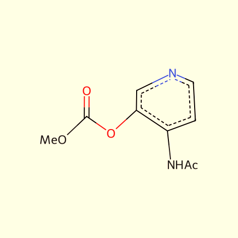 COC(=O)Oc1cnccc1NC(C)=O